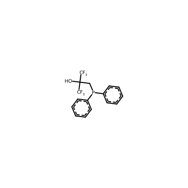 OC(CP(c1ccccc1)c1ccccc1)(C(F)(F)F)C(F)(F)F